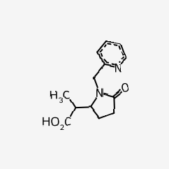 CC(C(=O)O)C1CCC(=O)N1Cc1ccccn1